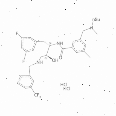 CCCCN(C)Cc1cc(C)cc(C(=O)N[C@@H](Cc2cc(F)cc(F)c2)[C@@H](O)CNCc2cccc(C(F)(F)F)c2)c1.Cl.Cl